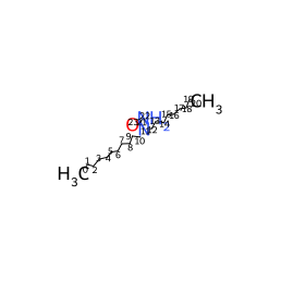 CCCCCCCCCCCN(CCCCCCCCC)C(N)=O